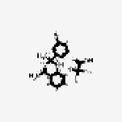 CC1(c2cccc(Br)c2)N=C(N)c2ccccc2N1.O=C(O)C(F)(F)F